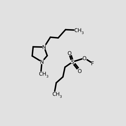 CCCCN1CCN(C)C1.CCCCS(=O)(=O)OF